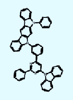 c1ccc(-c2nc(-c3cccc(-n4c5ccccc5c5cc6c7ccccc7n(-c7ccccc7)c6cc54)c3)cc(-n3c4ccccc4c4ccccc43)n2)cc1